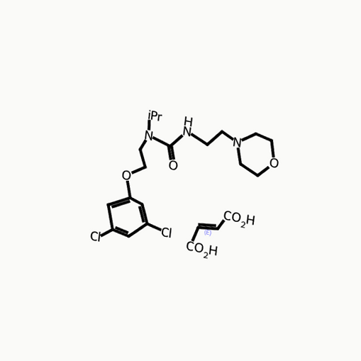 CC(C)N(CCOc1cc(Cl)cc(Cl)c1)C(=O)NCCN1CCOCC1.O=C(O)/C=C/C(=O)O